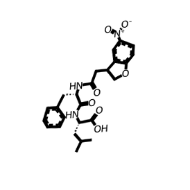 CC(C)C[C@H](NC(=O)[C@H](Cc1ccccc1)NC(=O)CC1COc2ccc([N+](=O)[O-])cc21)C(=O)O